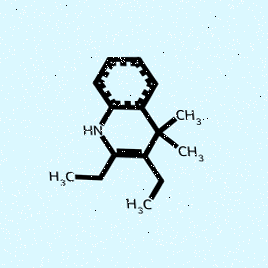 CCC1=C(CC)C(C)(C)c2ccccc2N1